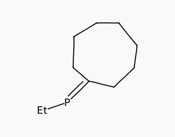 CCP=C1CCCCCCC1